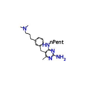 CCCCCNc1nc(N)nc(C)c1Cc1cccc(CCCN(C)C)c1